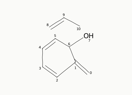 C=C1C=CC=CC1O.C=CC